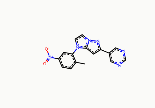 Cc1ccc([N+](=O)[O-])cc1-n1ccn2nc(-c3cncnc3)cc12